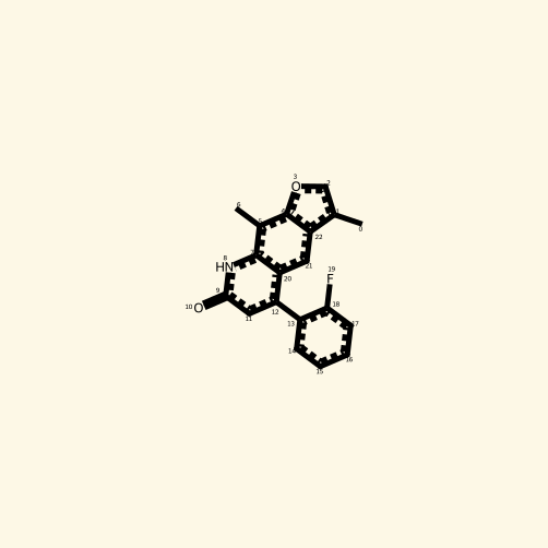 Cc1coc2c(C)c3[nH]c(=O)cc(-c4ccccc4F)c3cc12